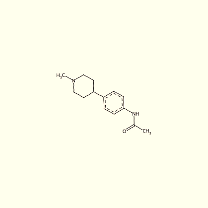 CC(=O)Nc1ccc(C2CCN(C)CC2)cc1